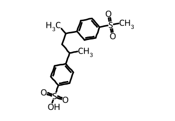 CC(CC(C)c1ccc(S(=O)(=O)O)cc1)c1ccc(S(C)(=O)=O)cc1